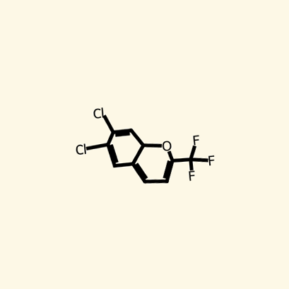 FC(F)(F)C1=CC=C2C=C(Cl)C(Cl)=CC2O1